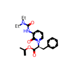 C=C(C)OC(=O)[C@H](Cc1ccccc1)n1cccc(NC(=O)N(CC)CC)c1=O